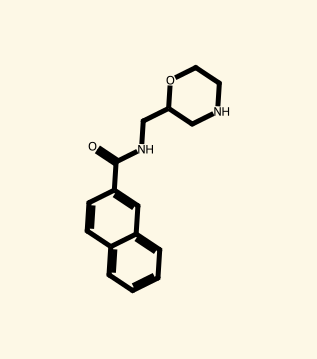 O=C(NCC1CNCCO1)c1ccc2ccccc2c1